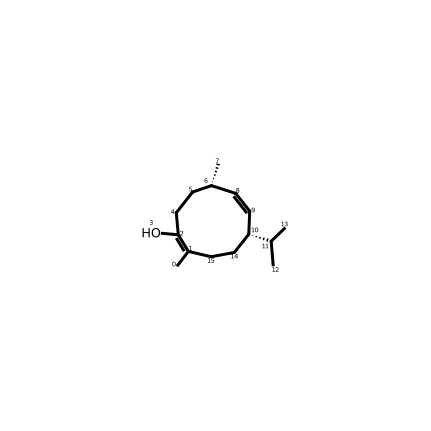 C/C1=C(\O)CC[C@H](C)/C=C\[C@H](C(C)C)CC1